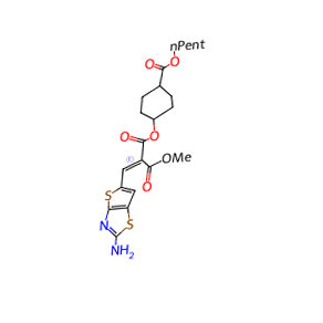 CCCCCOC(=O)C1CCC(OC(=O)/C(=C/c2cc3sc(N)nc3s2)C(=O)OC)CC1